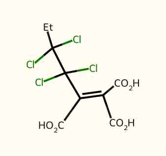 CCC(Cl)(Cl)C(Cl)(Cl)C(C(=O)O)=C(C(=O)O)C(=O)O